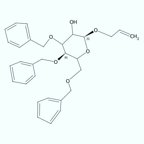 C=CCO[C@H]1OC(COCc2ccccc2)[C@@H](OCc2ccccc2)C(OCc2ccccc2)C1O